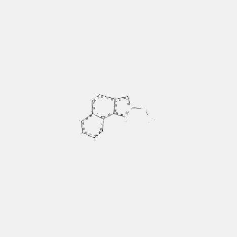 COn1cc2ccc3ccccc3c2n1